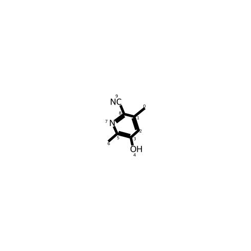 Cc1cc(O)c(C)nc1C#N